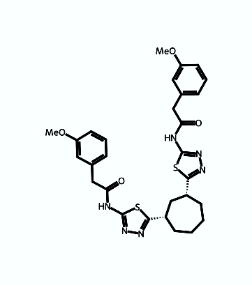 COc1cccc(CC(=O)Nc2nnc([C@@H]3CCCC[C@H](c4nnc(NC(=O)Cc5cccc(OC)c5)s4)C3)s2)c1